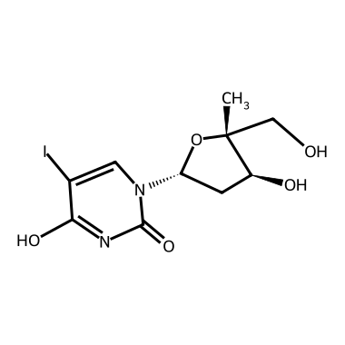 C[C@]1(CO)O[C@@H](n2cc(I)c(O)nc2=O)C[C@@H]1O